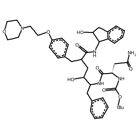 CC(C)(C)OC(=O)N[C@@H](CC(N)=O)C(=O)NC(Cc1ccccc1)C(O)CC(Cc1ccc(OCCN2CCOCC2)cc1)C(=O)NC1c2ccccc2CC1O